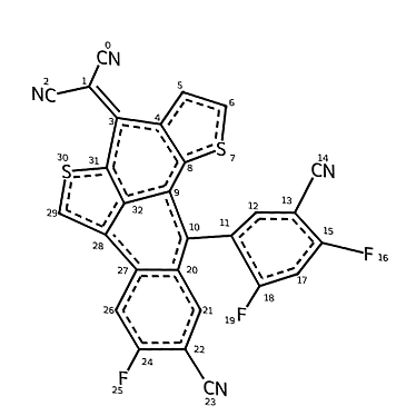 N#CC(C#N)=c1c2ccsc2c2c(-c3cc(C#N)c(F)cc3F)c3cc(C#N)c(F)cc3c3csc1c32